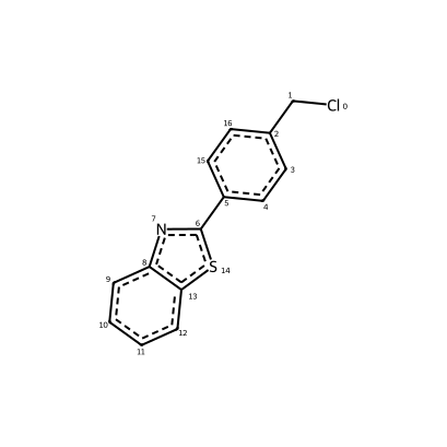 ClCc1ccc(-c2nc3ccccc3s2)cc1